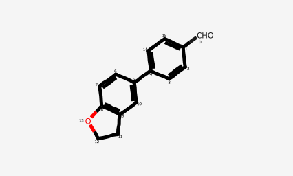 O=Cc1ccc(-c2ccc3c(c2)CCO3)cc1